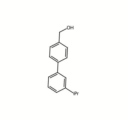 CC(C)c1cccc(-c2ccc(CO)cc2)c1